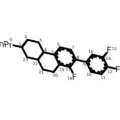 CCCC1CCC2c3ccc(-c4ccc(F)c(F)c4)c(F)c3CCC2C1